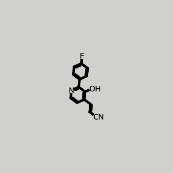 N#CC=Cc1ccnc(-c2ccc(F)cc2)c1O